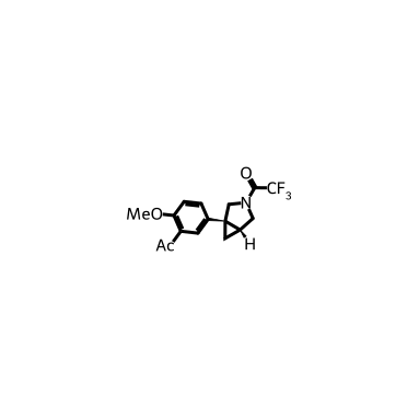 COc1ccc([C@]23C[C@H]2CN(C(=O)C(F)(F)F)C3)cc1C(C)=O